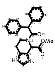 COC(=O)C1c2nc[nH]c2CCN1C(=O)C(c1ccccc1)c1ccccc1